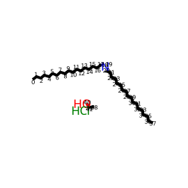 CCCCCCCCCCCCCCCCCCN(C)CCCCCCCCCCCCCCCCCC.CCO.Cl